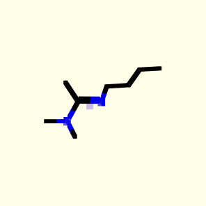 CCCC/N=C(\C)N(C)C